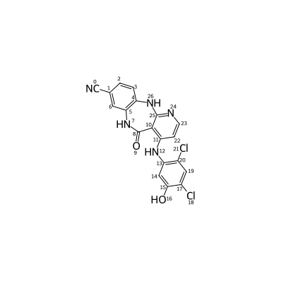 N#Cc1ccc2c(c1)NC(=O)c1c(Nc3cc(O)c(Cl)cc3Cl)ccnc1N2